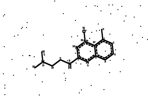 Cc1cccc2nc(NCCN(C)C)n[n+]([O-])c12